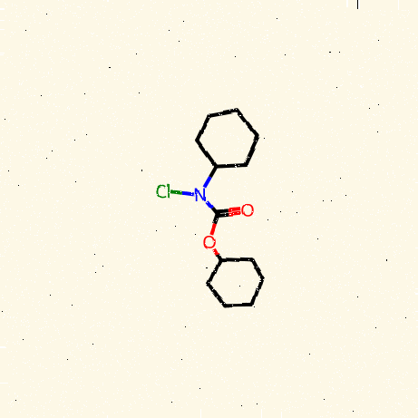 O=C(OC1CCCCC1)N(Cl)C1CCCCC1